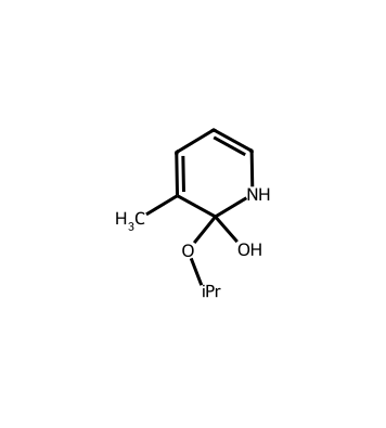 CC1=CC=CNC1(O)OC(C)C